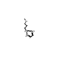 COCCCn1nccn1